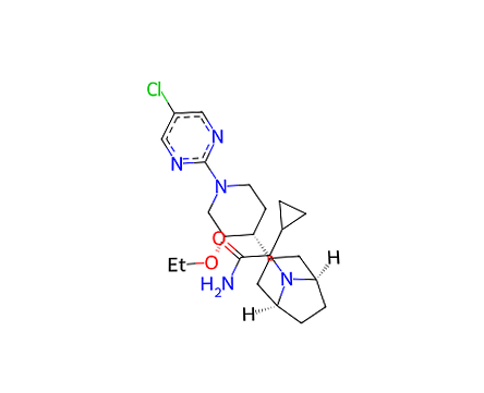 CCO[C@@H]1CN(c2ncc(Cl)cn2)CC[C@@H]1C1C[C@H]2CC[C@@H](C1)N2C(C(N)=O)C1CC1